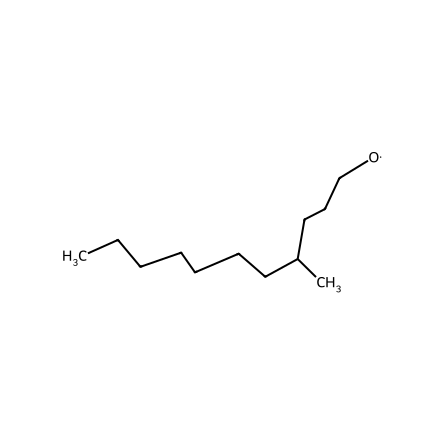 CCCCCCCC(C)CCC[O]